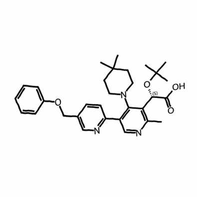 Cc1ncc(-c2ccc(COc3ccccc3)cn2)c(N2CCC(C)(C)CC2)c1[C@H](OC(C)(C)C)C(=O)O